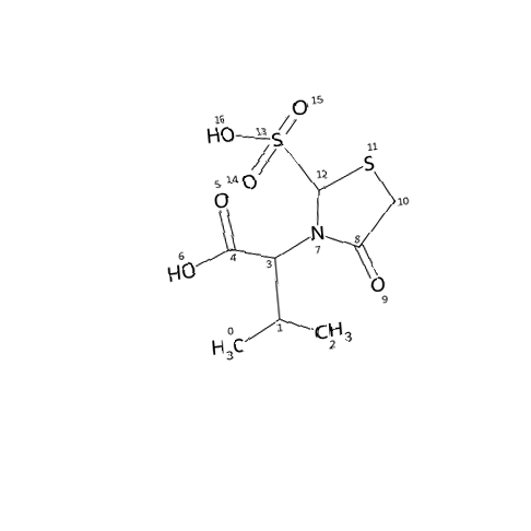 CC(C)C(C(=O)O)N1C(=O)CSC1S(=O)(=O)O